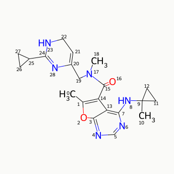 Cc1oc2ncnc(NC3(C)CC3)c2c1C(=O)N(C)CC1=CCNC(C2CC2)=N1